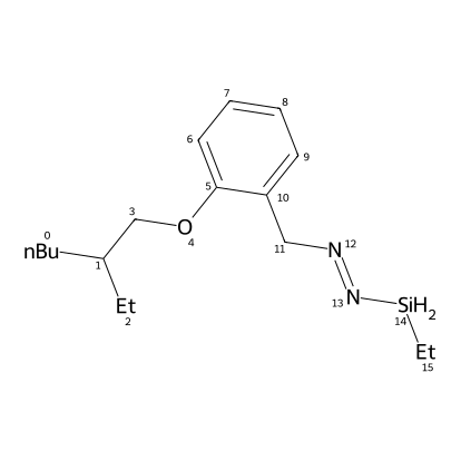 CCCCC(CC)COc1ccccc1CN=N[SiH2]CC